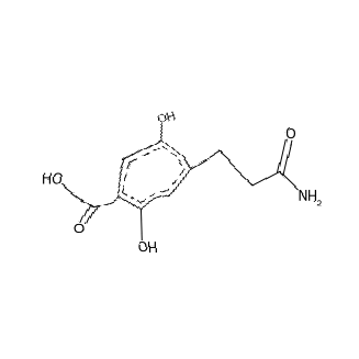 NC(=O)CCc1cc(O)c(C(=O)O)cc1O